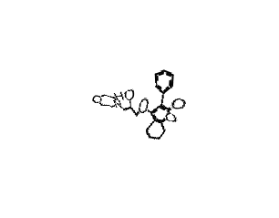 O=c1oc2c(c(OCC(O)CN3CCOCC3)c1-c1ccccc1)CCCC2